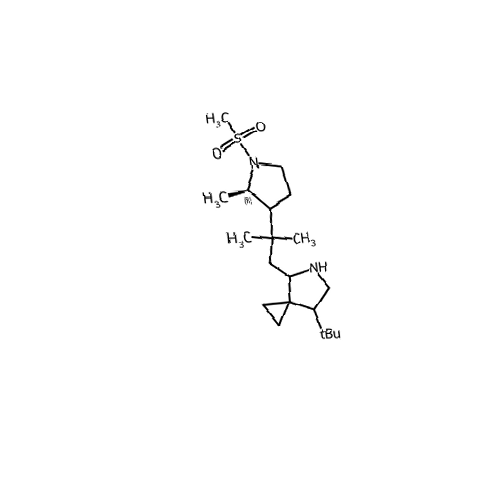 C[C@@H]1C(C(C)(C)CC2NCC(C(C)(C)C)C23CC3)CCN1S(C)(=O)=O